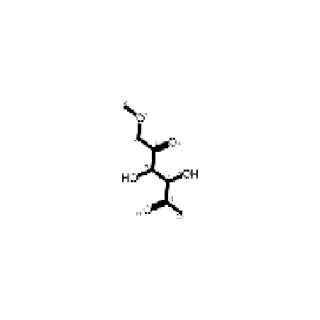 COCC(=O)C(O)C(O)C(C)=O